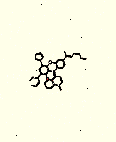 C=C/C=C\C=C(/C)c1ccc2c(c1)Oc1c(C3=CC=C=C3)cc(C(/C=C\C)=C/C)c3c1P2(=S)C(/C=C\C(=C)c1ccccc1)=C(C)O3